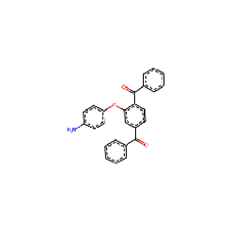 Nc1ccc(Oc2cc(C(=O)c3ccccc3)ccc2C(=O)c2ccccc2)cc1